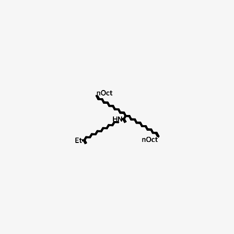 C=C(CC)CCCCCCCCCCCCNC(=C)C(CCCCCCCCC/C=C\CCCCCCCC)CCCCCCCCCC/C=C\CCCCCCCC